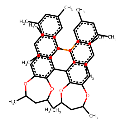 Cc1cc(C)cc(P(c2cc(C)cc(C)c2)c2ccc3c(c2-c2c(P(c4cc(C)cc(C)c4)c4cc(C)cc(C)c4)ccc4c2OC(C)CC(C)O4)OC(C)CC(C)O3)c1